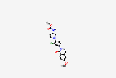 CCCCOc1ccc2c(c1)CCN(c1ccc(N3CC[C@@H](N(C)C(=O)OC(C)(C)C)C3)c(F)c1)C2=O